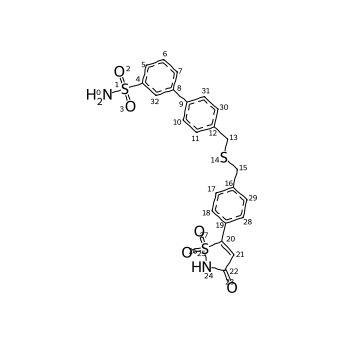 NS(=O)(=O)c1cccc(-c2ccc(CSCc3ccc(C4=CC(=O)NS4(=O)=O)cc3)cc2)c1